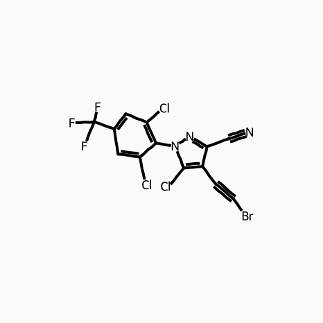 N#Cc1nn(-c2c(Cl)cc(C(F)(F)F)cc2Cl)c(Cl)c1C#CBr